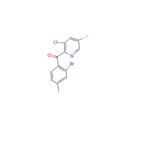 Cc1ccc(C(=O)c2ncc(F)cc2Cl)c(Br)c1